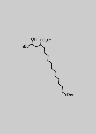 CCCCCCCCCCCCCCCCCCCCCCC(CC(O)CCCC)C(=O)OCC